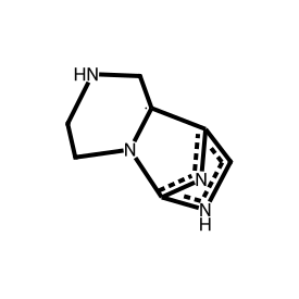 c1[nH]c2nc1[C]1CNCCN12